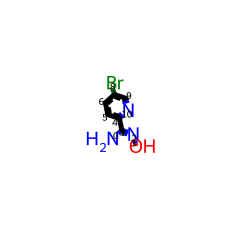 N/C(=N\O)c1ccc(Br)cn1